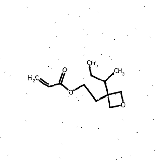 C=CC(=O)OCCC1(C(C)CC)COC1